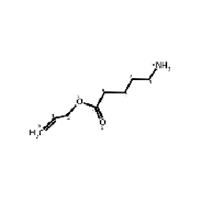 C=CCOC(=O)CCCCN